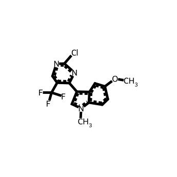 COc1ccc2c(c1)c(-c1nc(Cl)ncc1C(F)(F)F)cn2C